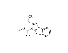 CCOC(C)n1c(SC(F)(F)F)nc2c1Cc1ccccc1-2